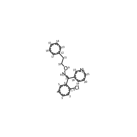 Clc1ccccc1C(=NOCCc1ccccc1)c1cccnc1